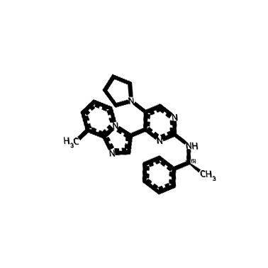 Cc1cccn2c(-c3nc(N[C@@H](C)c4ccccc4)ncc3N3CCCC3)cnc12